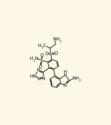 CC(CN)S(=O)(=O)c1ccc(-c2cccc3nc(N)[nH]c23)c(-c2nn[nH]n2)c1S(N)(=O)=O